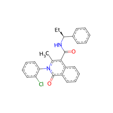 CC[C@H](NC(=O)c1c(C)n(-c2ccccc2Cl)c(=O)c2ccccc12)c1ccccc1